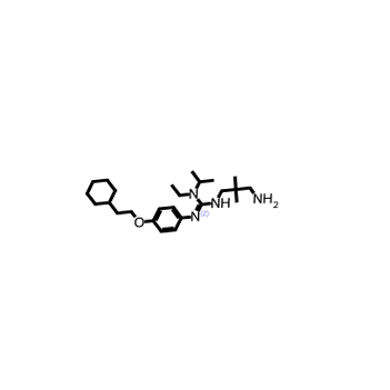 CCN(/C(=N\c1ccc(OCCC2CCCCC2)cc1)NCC(C)(C)CN)C(C)C